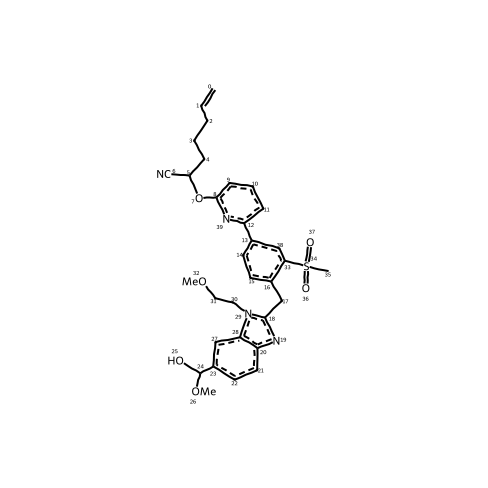 C=CCCCC(C#N)Oc1cccc(-c2ccc(Cc3nc4ccc(C(O)OC)cc4n3CCOC)c(S(C)(=O)=O)c2)n1